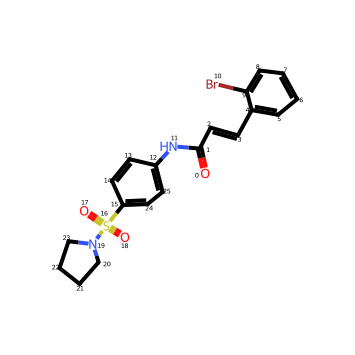 O=C(C=Cc1ccccc1Br)Nc1ccc(S(=O)(=O)N2CCCC2)cc1